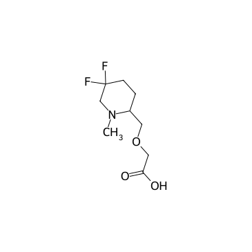 CN1CC(F)(F)CCC1COCC(=O)O